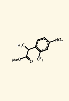 COC(=O)C(C)c1ccc([N+](=O)[O-])cc1C(F)(F)F